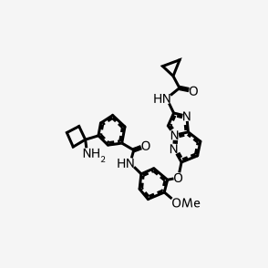 COc1ccc(NC(=O)c2cccc(C3(N)CCC3)c2)cc1Oc1ccc2nc(NC(=O)C3CC3)cn2n1